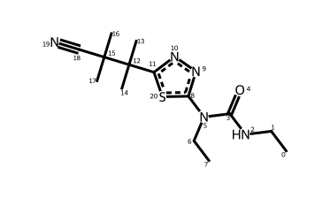 CCNC(=O)N(CC)c1nnc(C(C)(C)C(C)(C)C#N)s1